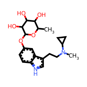 CC1OC(Oc2ccc3[nH]cc(CCN(C)C4CC4)c3c2)C(O)C(O)C1O